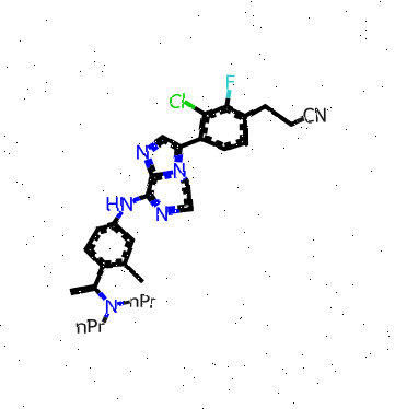 C=C(c1ccc(Nc2nccn3c(-c4ccc(CCC#N)c(F)c4Cl)cnc23)cc1C)N(CCC)CCC